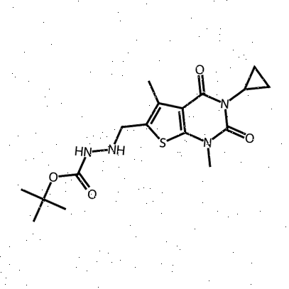 Cc1c(CNNC(=O)OC(C)(C)C)sc2c1c(=O)n(C1CC1)c(=O)n2C